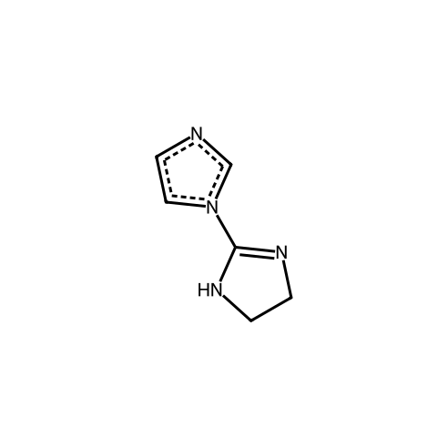 c1cn(C2=NCCN2)cn1